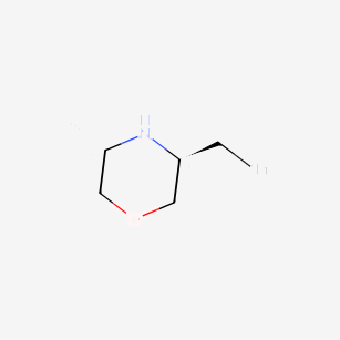 CC(C)C[C@H]1COC[C@H](C)N1